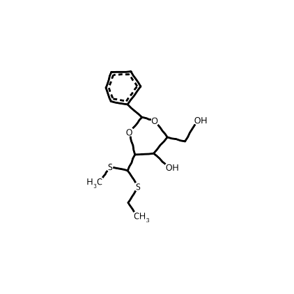 CCSC(SC)C1OC(c2ccccc2)OC(CO)C1O